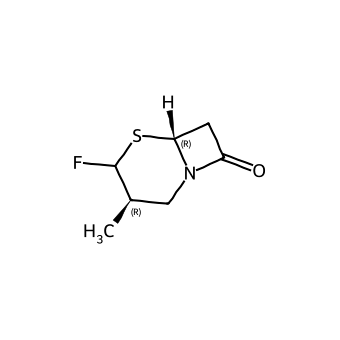 C[C@@H]1CN2C(=O)C[C@H]2SC1F